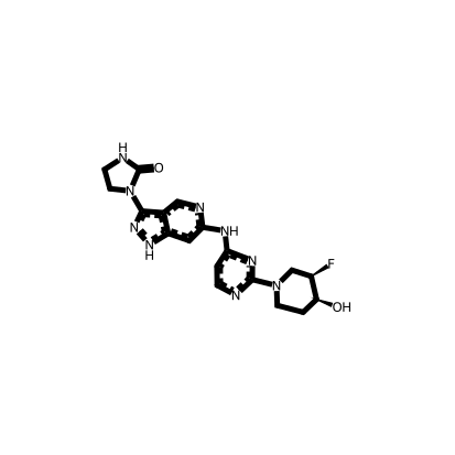 O=C1NCCN1c1n[nH]c2cc(Nc3ccnc(N4CC[C@H](O)[C@H](F)C4)n3)ncc12